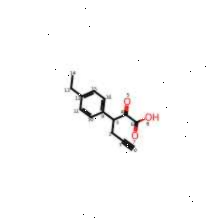 C#CCC(C(=O)C(=O)O)c1ccc(CC)cc1